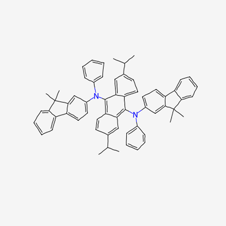 CC(C)c1ccc2c(N(c3ccccc3)c3ccc4c(c3)C(C)(C)c3ccccc3-4)c3cc(C(C)C)ccc3c(N(c3ccccc3)c3ccc4c(c3)C(C)(C)c3ccccc3-4)c2c1